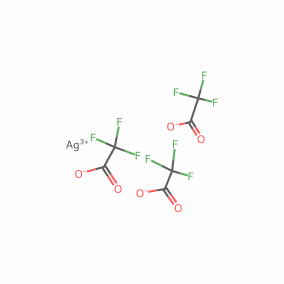 O=C([O-])C(F)(F)F.O=C([O-])C(F)(F)F.O=C([O-])C(F)(F)F.[Ag+3]